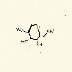 O[C@@H]1[C@H](S)[C@@H](O)[CH]O[C@@H]1CS